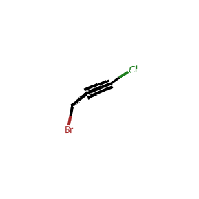 ClC#CCBr